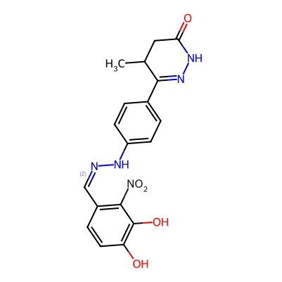 CC1CC(=O)NN=C1c1ccc(N/N=C\c2ccc(O)c(O)c2[N+](=O)[O-])cc1